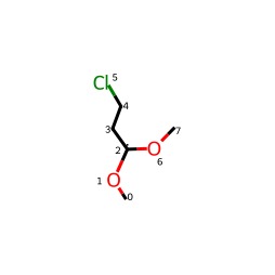 CO[C](CCCl)OC